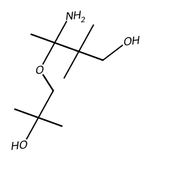 CC(C)(O)COC(C)(N)C(C)(C)CO